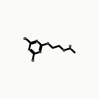 CBOCCOc1nc(Cl)nc(Cl)n1